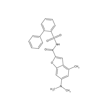 Cc1cc(N(C)C)cc2oc(C(=O)NS(=O)(=O)c3ccccc3-c3ccccc3)cc12